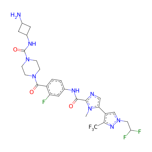 Cn1c(-c2cn(CC(F)F)nc2C(F)(F)F)cnc1C(=O)Nc1ccc(C(=O)N2CCN(C(=O)NC3CC(N)C3)CC2)c(F)c1